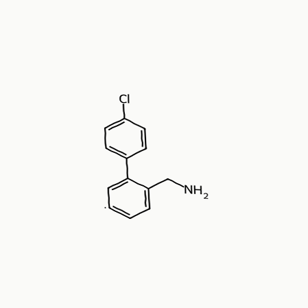 NCc1cc[c]cc1-c1ccc(Cl)cc1